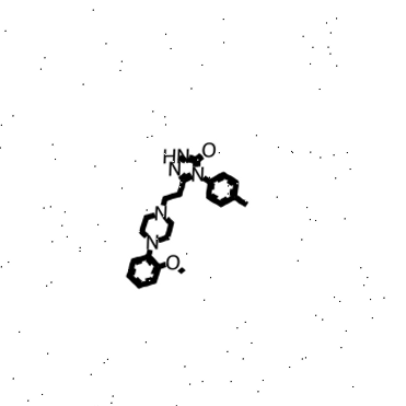 COc1ccccc1N1CCN(CCc2n[nH]c(=O)n2-c2ccc(C)cc2)CC1